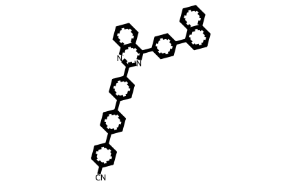 N#Cc1ccc(-c2ccc(-c3ccc(-c4nc(-c5ccc(-c6cccc7ccccc67)cc5)c5ccccc5n4)cc3)cc2)cc1